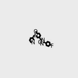 O=c1ccc(-c2nc(-c3ccc(F)cc3)no2)cn1Cc1cccnc1